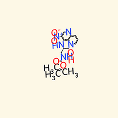 CC(C)(C)OC(=O)NC[C@H](CO)Nc1c([N+](=O)[O-])cnc2cccnc12